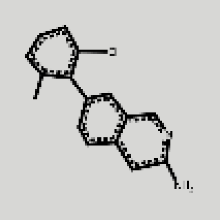 Cc1cccc(Cl)c1-c1ccc2cc(N)ncc2c1